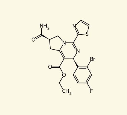 CCOC(=O)C1=C2C[C@@H](C(N)=O)CN2C(c2nccs2)=N[C@H]1c1ccc(F)cc1Br